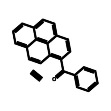 C#C.O=C(c1ccccc1)c1ccc2ccc3cccc4ccc1c2c34